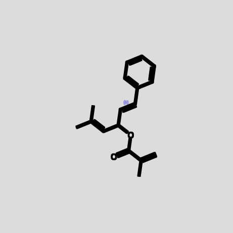 C=C(C)C(=O)OC(C=C(C)C)/C=C/c1ccccc1